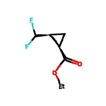 CCOC(=O)[C@@H]1C[C@@H]1C(F)F